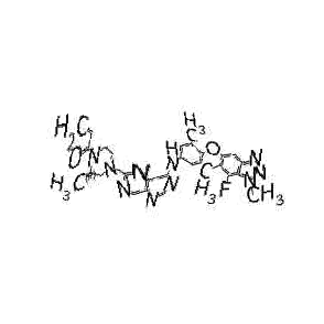 C=CC(=O)N1CCN(c2ncc3ncnc(Nc4ccc(Oc5cc6nnn(C)c6c(F)c5C)c(C)c4)c3n2)C[C@H]1C